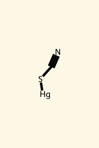 N#C[S][Hg]